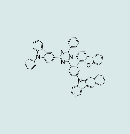 c1ccc(-c2nc(-c3ccc4c(c3)c3ccccc3n4-c3ccccc3)nc(-c3ccc(-n4c5ccccc5c5cc6ccccc6cc54)cc3-c3cccc4c3oc3ccccc34)n2)cc1